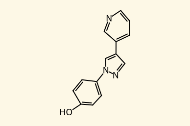 Oc1ccc(-n2cc(-c3cccnc3)cn2)cc1